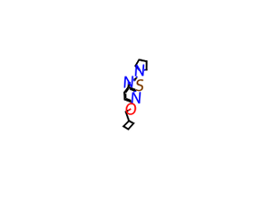 c1cc2nc(N3CCCC3)sc2nc1OCC1CCC1